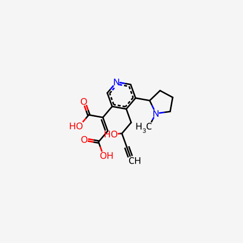 C#CC(O)Cc1c(/C(=C/C(=O)O)C(=O)O)cncc1C1CCCN1C